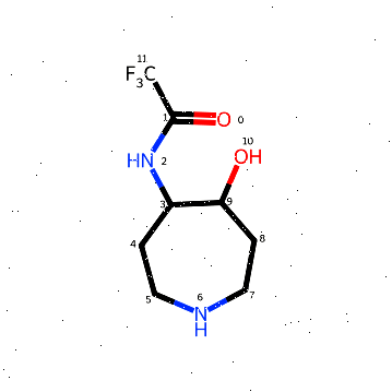 O=C(NC1CCNCCC1O)C(F)(F)F